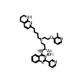 CC(=O)[C@H](CCN(CCCCc1ccc2c(n1)NCCC2)CCOc1cccnc1C)Nc1c2ccccc2nc(-c2cccnc2)[n+]1O